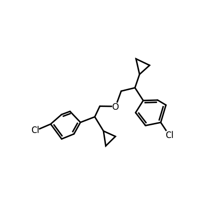 Clc1ccc(C(COCC(c2ccc(Cl)cc2)C2CC2)C2CC2)cc1